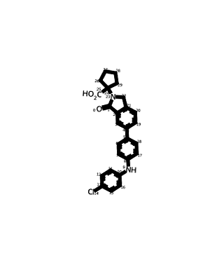 O=C1c2cc(-c3ccc(Nc4ccc(Cl)cc4)cc3)ccc2CN1C1(C(=O)O)CCCC1